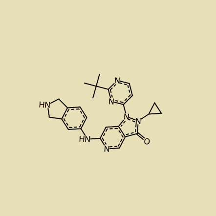 CC(C)(C)c1nccc(-n2c3cc(Nc4ccc5c(c4)CNC5)ncc3c(=O)n2C2CC2)n1